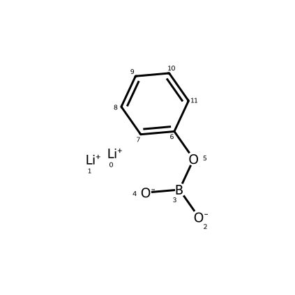 [Li+].[Li+].[O-]B([O-])Oc1ccccc1